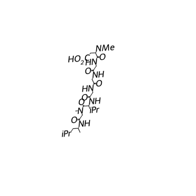 CNC(CC(=O)O)C(=O)NCC(=O)NCC(=O)NCC(=O)NC(C(=O)N(C)CC(=O)NC(C)CC(C)C)C(C)C